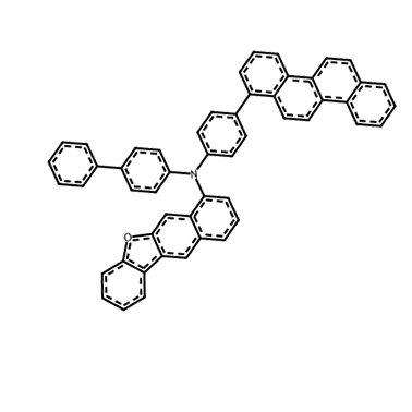 c1ccc(-c2ccc(N(c3ccc(-c4cccc5c4ccc4c6ccccc6ccc54)cc3)c3cccc4cc5c(cc34)oc3ccccc35)cc2)cc1